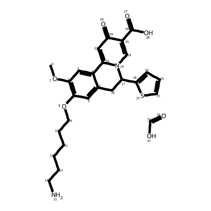 COc1cc2c(cc1OCCCCCCN)CC(c1cccs1)n1cc(C(=O)O)c(=O)cc1-2.O=CO